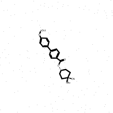 CCCCCCCCOc1ccc(-c2ccc(C(=O)O[C@H]3CC[C@@](C#N)(CCCC)CC3)cc2)cc1